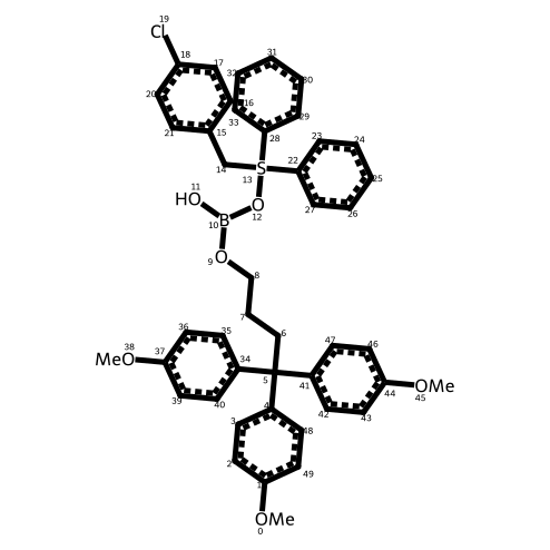 COc1ccc(C(CCCOB(O)OS(Cc2ccc(Cl)cc2)(c2ccccc2)c2ccccc2)(c2ccc(OC)cc2)c2ccc(OC)cc2)cc1